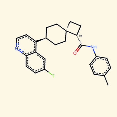 Cc1ccc(NC(=O)[C@H]2CC[C@]23CC[C@H](c2ccnc4ccc(F)cc42)CC3)cc1